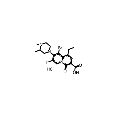 CCc1cc(C(=O)O)c(=O)n2cc(F)c(N3CCNC(C)C3)c(Br)c12.Cl